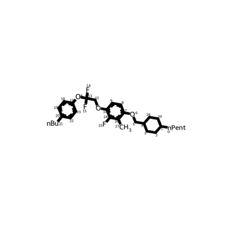 CCCCCC1CCC(COc2ccc(OCC(F)(F)Oc3ccc(CCCC)cc3)c(F)c2C)CC1